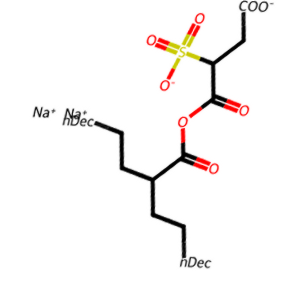 CCCCCCCCCCCCC(CCCCCCCCCCCC)C(=O)OC(=O)C(CC(=O)[O-])S(=O)(=O)[O-].[Na+].[Na+]